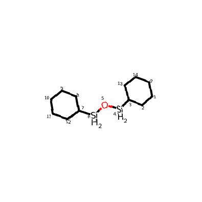 C1CCC([SiH2]O[SiH2]C2CCCCC2)CC1